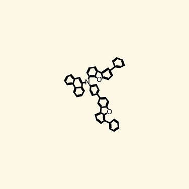 c1ccc(-c2ccc3oc4c(N(c5ccc(-c6ccc7oc8c(-c9ccccc9)cccc8c7c6)cc5)c5cc6ccccc6c6ccccc56)cccc4c3c2)cc1